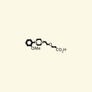 COc1ccccc1N1CCN(CCOCCC(=O)O)CC1